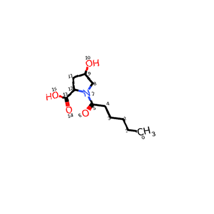 CCCCCC(=O)N1CC(O)CC1C(=O)O